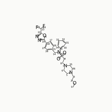 COCCN1CCN(CCS(=O)(=O)N(Cc2ccc(-c3nnc(C(F)F)o3)cc2)c2ccccc2)CC1